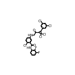 O=C(Nc1cccc(F)c1F)c1cc(NCC(=O)C2C(c3cc(Cl)cc(Cl)c3)C2(Cl)Cl)ccc1Cl